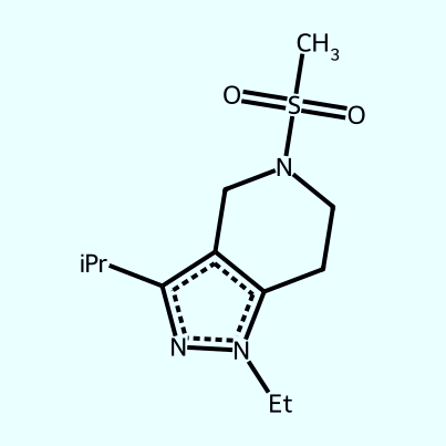 CCn1nc(C(C)C)c2c1CCN(S(C)(=O)=O)C2